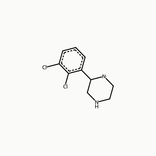 Clc1cccc(C2CNCC[N]2)c1Cl